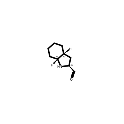 O=[C][C@@H]1C[C@H]2CCCC[C@H]2N1